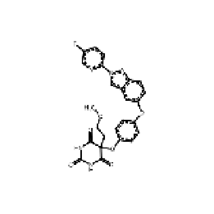 COCCC1(Oc2ccc(Oc3ccc4nn(-c5ccc(F)cn5)cc4c3)cc2)C(=O)NC(=O)NC1=O